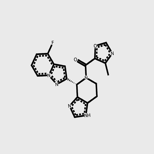 Cc1ncoc1C(=O)N1CCc2[nH]cnc2[C@@H]1c1cc2c(F)cccn2n1